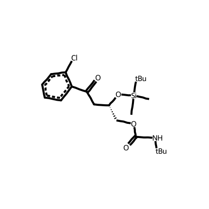 CC(C)(C)NC(=O)OC[C@H](CC(=O)c1ccccc1Cl)O[Si](C)(C)C(C)(C)C